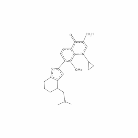 COc1c(-c2cc3c(s2)CCCC3CN(C)C)ccc2c(=O)c(C(=O)O)cn(C3CC3)c12